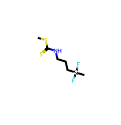 CSC(=S)NCCC[Si](C)(F)F